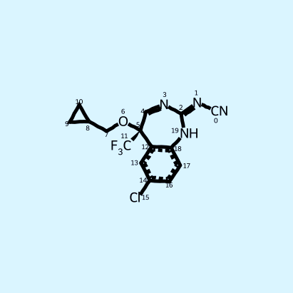 N#CN=C1N=C[C@](OCC2CC2)(C(F)(F)F)c2cc(Cl)ccc2N1